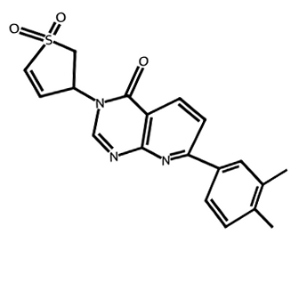 Cc1ccc(-c2ccc3c(=O)n(C4C=CS(=O)(=O)C4)cnc3n2)cc1C